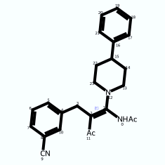 CC(=O)N/C(=C(/Cc1cccc(C#N)c1)C(C)=O)N1CCC(c2ccccc2)CC1